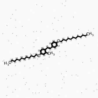 CCCCCCCCCCCCOc1ccc(C=Cc2ccc(OCCCCCCCCCCCC)cc2C)cc1